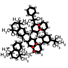 CC(C)c1cc2c3c(c1)N(c1c(-c4ccccc4)cc(C(C)(C)C)cc1-c1ccccc1)c1ccc(C(C)(C)c4ccccc4)cc1B3c1cc3c(cc1N2c1ccc2c(c1)C(C)(C)CCC2(C)C)C(C)(C)CCC3(C)C